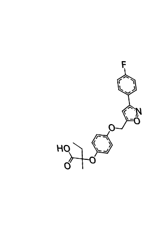 CCC(C)(Oc1ccc(OCc2cc(-c3ccc(F)cc3)no2)cc1)C(=O)O